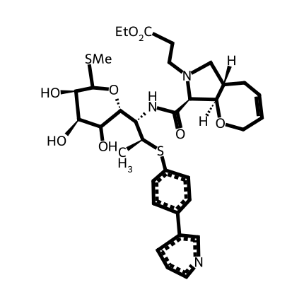 CCOC(=O)CCN1C[C@@H]2CC=CCO[C@H]2[C@H]1C(=O)N[C@H]([C@H](C)Sc1ccc(-c2cccnc2)cc1)[C@H]1OC(SC)[C@H](O)[C@H](O)C1O